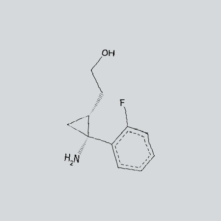 N[C@]1(c2ccccc2F)C[C@@H]1CCO